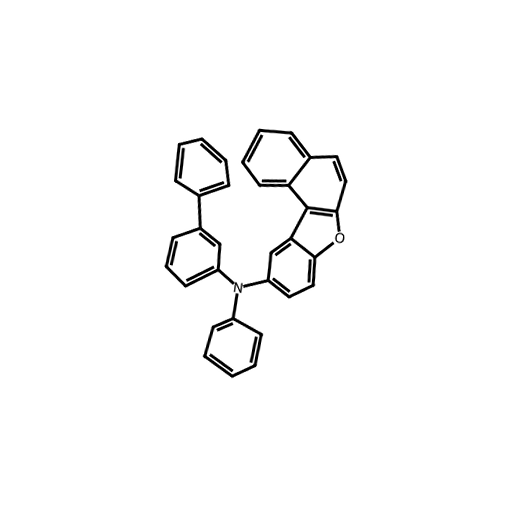 c1ccc(-c2cccc(N(c3ccccc3)c3ccc4oc5ccc6ccccc6c5c4c3)c2)cc1